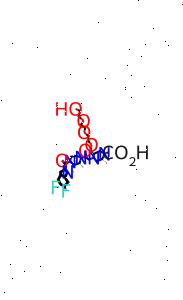 C[C@@H]1CN(CC(=O)N2CCN(C(=O)c3cc4cc(F)c(F)cc4n3C)C[C@H]2C)[C@@H](COCCOCCOCCO)CN1C(=O)O